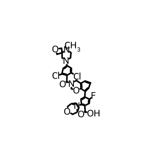 CN1CCN(c2cc(Cl)c(C(=O)N3COc4c(cccc4-c4cc(N5C6CCC5COC6)c(C(=O)O)cc4F)C3)c(Cl)c2)CC12COC2